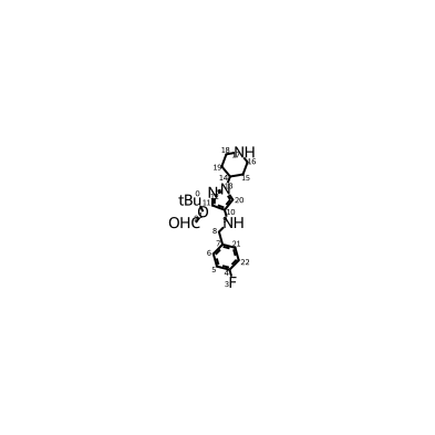 CC(C)(C)OC=O.Fc1ccc(CNc2cnn(C3CCNCC3)c2)cc1